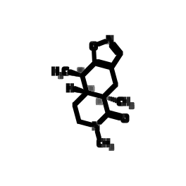 C[C@H]1c2oncc2C[C@@]2(C)C(=O)N(C)CC[C@H]12